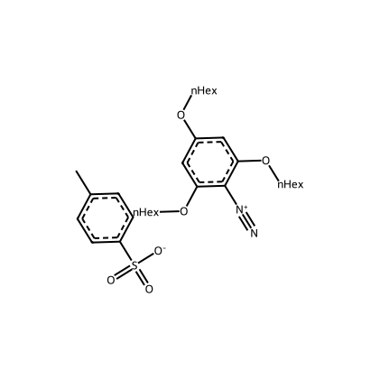 CCCCCCOc1cc(OCCCCCC)c([N+]#N)c(OCCCCCC)c1.Cc1ccc(S(=O)(=O)[O-])cc1